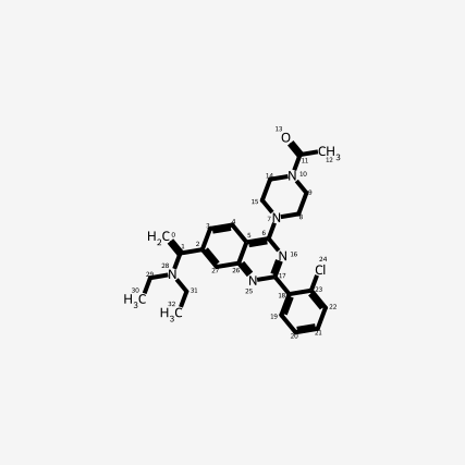 C=C(c1ccc2c(N3CCN(C(C)=O)CC3)nc(-c3ccccc3Cl)nc2c1)N(CC)CC